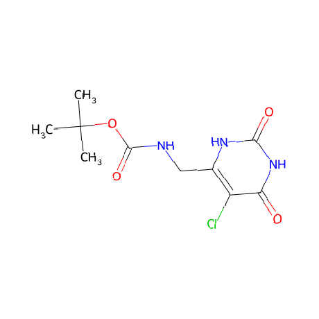 CC(C)(C)OC(=O)NCc1[nH]c(=O)[nH]c(=O)c1Cl